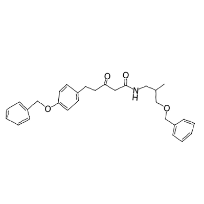 CC(CNC(=O)CC(=O)CCc1ccc(OCc2ccccc2)cc1)COCc1ccccc1